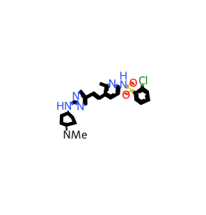 CN[C@H]1CC[C@H](Nc2ncc(C=Cc3ccc(NS(=O)(=O)c4ccccc4Cl)nc3C)cn2)CC1